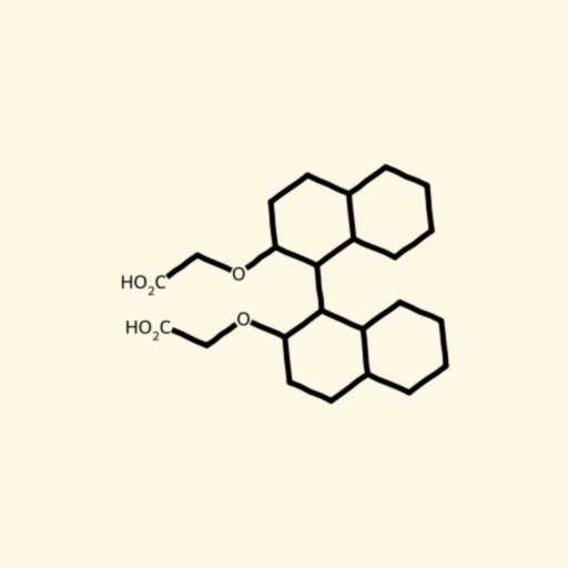 O=C(O)COC1CCC2CCCCC2C1C1C(OCC(=O)O)CCC2CCCCC21